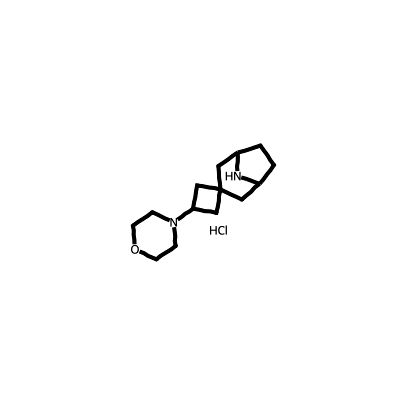 C1CN(C2CC3(CC4CCC(C3)N4)C2)CCO1.Cl